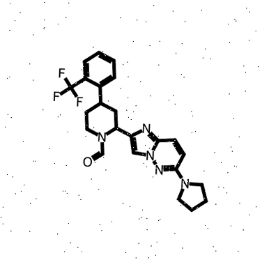 O=CN1CCC(c2ccccc2C(F)(F)F)CC1c1cn2nc(N3CCCC3)ccc2n1